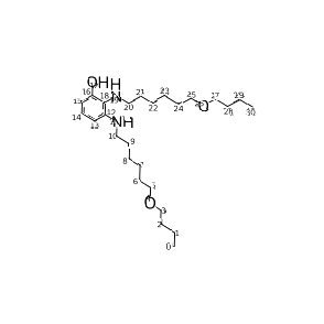 CCCCOCCCCCCNc1cccc(O)c1NCCCCCCOCCCC